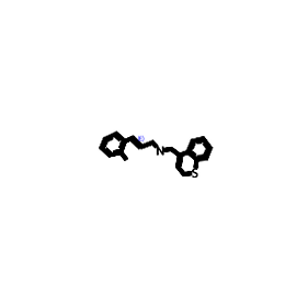 Cc1ccccc1/C=C/C[N]CC1=CCSc2ccccc21